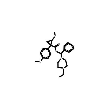 CCN1CCN(C(OC(=O)C2(c3ccc(OC)cc3)CC2OC)c2ccccc2)CC1